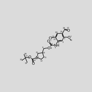 COc1cc(NC(=O)OCC2CCN(C(=O)OC(C)(C)C)C2)c(Cl)cc1C=O